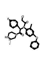 Cc1cc(Oc2ccccc2)ccc1N(C(=O)CCl)C(C(=O)N1CCN[C@@H](C)C1)c1ccc(F)cc1